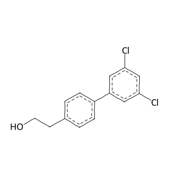 OCCc1ccc(-c2cc(Cl)cc(Cl)c2)cc1